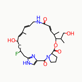 CC1=C\C(O)CC(F)Cc2nc(c[nH]2)C(=O)N2CCCC2C(=O)OC(C(C)CO)C(C)/C=C/C(=O)NC\C=C\1